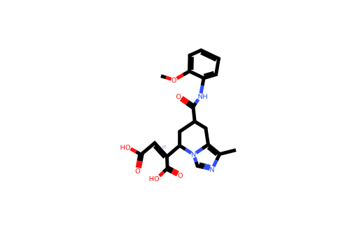 COc1ccccc1NC(=O)C1Cc2c(C)ncn2C(/C(=C/C(=O)O)C(=O)O)C1